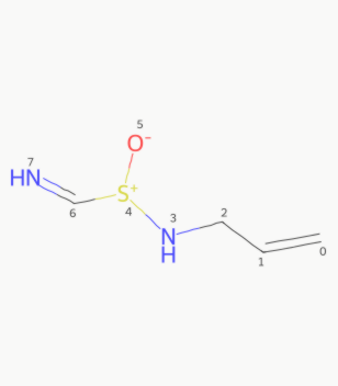 C=CCN[S+]([O-])C=N